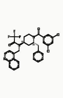 O=C(c1cc(Cl)cc(Cl)c1)N1CC[C@H](N(Cc2ccnc3ccccc23)C(=O)C(F)(F)F)C[C@H]1Cc1ccccc1